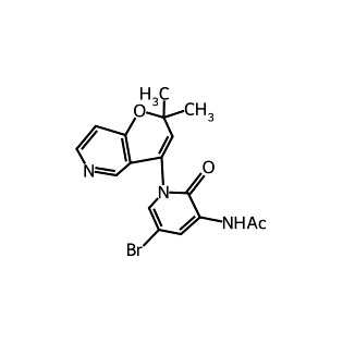 CC(=O)Nc1cc(Br)cn(C2=CC(C)(C)Oc3ccncc32)c1=O